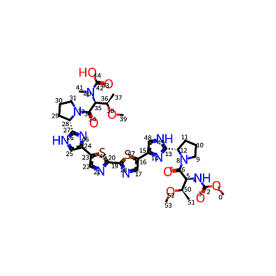 COC(=O)N[C@H](C(=O)N1CCC[C@H]1c1nc(-c2cnc(-c3ncc(-c4c[nH]c([C@@H]5CCCN5C(=O)[C@H]([C@@H](C)OC)N(C)C(=O)O)n4)s3)s2)c[nH]1)[C@@H](C)OC